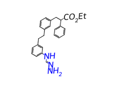 CCOC(=O)C(Cc1cccc(CCc2cccc(NC=NN)c2)c1)c1ccccc1